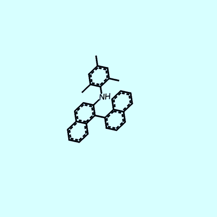 Cc1cc(C)c(Nc2ccc3ccccc3c2-c2cccc3ccccc23)c(C)c1